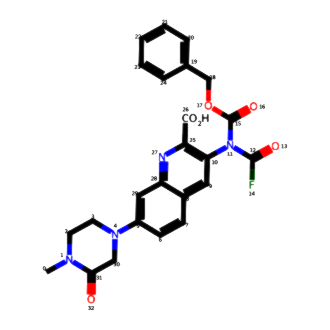 CN1CCN(c2ccc3cc(N(C(=O)F)C(=O)OCc4ccccc4)c(C(=O)O)nc3c2)CC1=O